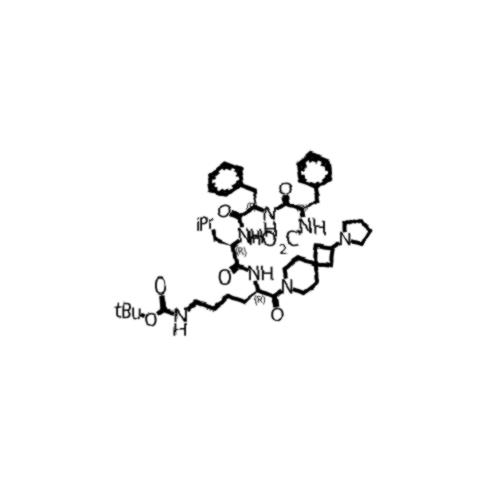 CC(C)C[C@@H](NC(=O)[C@@H](Cc1ccccc1)NC(=O)[C@@H](Cc1ccccc1)NC(=O)O)C(=O)N[C@H](CCCCNC(=O)OC(C)(C)C)C(=O)N1CCC2(CC1)CC(N1CCCC1)C2